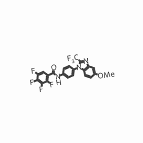 COc1ccc2c(c1)nc(C(F)(F)F)n2-c1ccc(NC(=O)c2cc(F)c(F)c(F)c2F)cc1